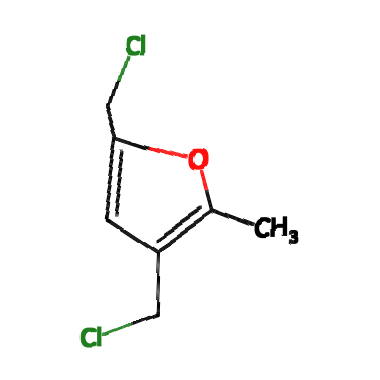 Cc1oc(CCl)cc1CCl